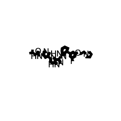 CC(C)CC(=O)Nc1cncc(-c2ccc3[nH]nc(-c4nc5c(-c6cc(F)cc(OCCN7CCCC7)c6)cccc5[nH]4)c3n2)c1